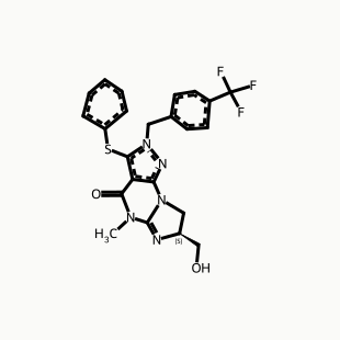 CN1C(=O)c2c(nn(Cc3ccc(C(F)(F)F)cc3)c2Sc2ccccc2)N2C[C@@H](CO)N=C12